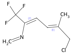 C=N/C(=C\C=C(/C)CCl)C(F)(F)F